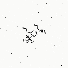 C=CCN.C=CCc1ccccc1S(=O)(=O)O